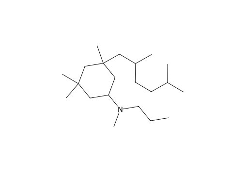 CCCN(C)C1CC(C)(C)CC(C)(CC(C)CCC(C)C)C1